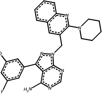 Nc1ncnc2c1c(-c1cc(O)cc(F)c1)nn2Cc1cc2ccccc2nc1N1CCCCC1